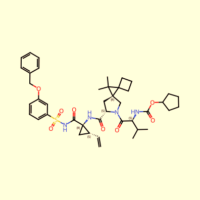 C=C[C@@H]1C[C@]1(NC(=O)[C@@H]1C[C@@]2(CN1C(=O)[C@@H](NC(=O)OC1CCCC1)C(C)C)C(C)(C)C21CCC1)C(=O)NS(=O)(=O)c1cccc(OCc2ccccc2)c1